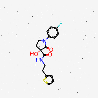 O=C(NCCc1cccs1)[C@@]1(O)CCN(c2ccc(F)cc2)C1=O